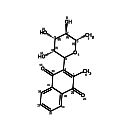 CC1=C(C2O[C@@H](C)[C@H](O)[C@@H](O)[C@H]2O)C(=O)c2ccccc2C1=O